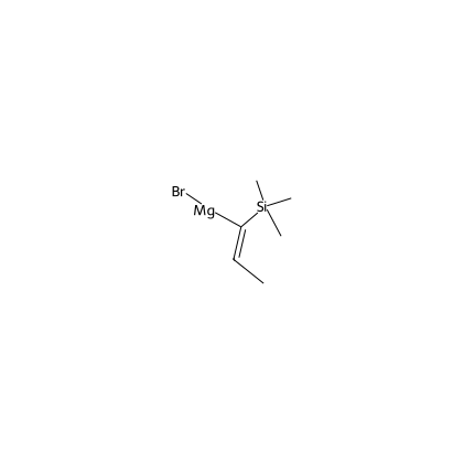 CC=[C]([Mg][Br])[Si](C)(C)C